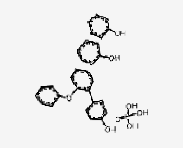 O=P(O)(O)O.Oc1ccc(-c2ccccc2Oc2ccccc2)cc1.Oc1ccccc1.Oc1ccccc1